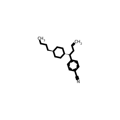 C=CCC(c1ccc(C#N)cc1)[C@H]1CC[C@H](CCCC)CC1